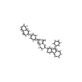 N=C1C=C(c2ccc3c4ccccc4n(-c4ccccc4)c3c2)C=C/C1=N/Nc1ccc(-c2cnc3ccccc3c2)cc1